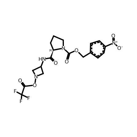 O=C(NC1CN(OC(=O)C(F)(F)F)C1)[C@H]1CCCN1C(=O)OCc1ccc([N+](=O)[O-])cc1